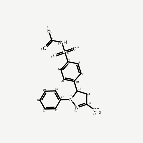 CCC(=O)NS(=O)(=O)c1ccc(C2CC(C(F)(F)F)=NN2c2ccccc2)cc1